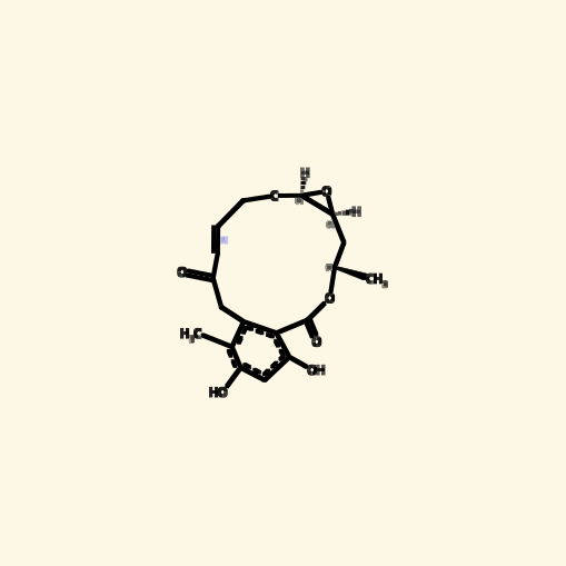 Cc1c(O)cc(O)c2c1CC(=O)/C=C/CC[C@H]1O[C@H]1C[C@@H](C)OC2=O